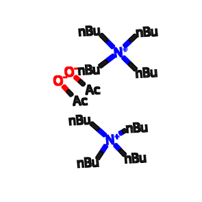 CC(=O)[O-].CC(=O)[O-].CCCC[N+](CCCC)(CCCC)CCCC.CCCC[N+](CCCC)(CCCC)CCCC